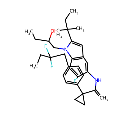 C=C(Nc1cc2cc(C(C)(C)CC)n(CC(O)CC)c2cc1F)C1(c2ccc(CC(F)(F)CC)cc2)CC1